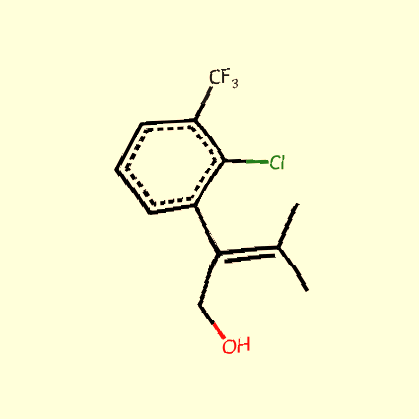 CC(C)=C(CO)c1cccc(C(F)(F)F)c1Cl